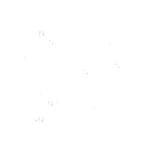 c1cc(-c2ccc(N3CCCC3)nc2)n(-c2ccc3cn[nH]c3c2)n1